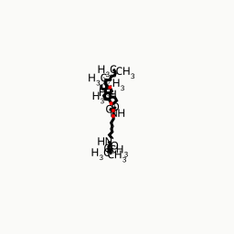 CC(C)CCC[C@@H](C)[C@H]1CC[C@H]2[C@@H]3CC=C4C[C@@H](OC(=O)NCCCCCCCCNC(=O)OC(C)(C)C)CC[C@]4(C)[C@H]3CC[C@]12C